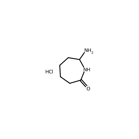 Cl.NC1CCCCC(=O)N1